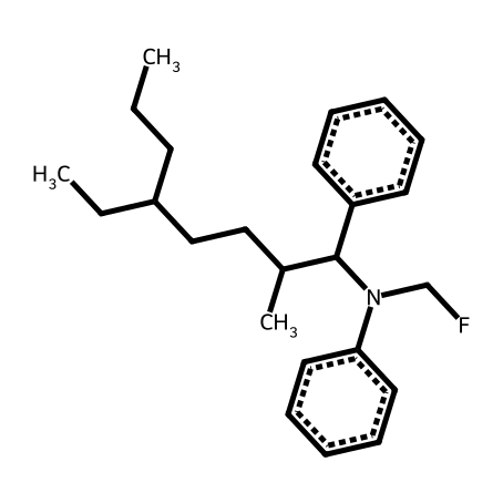 CCCC(CC)CCC(C)C(c1ccccc1)N(CF)c1ccccc1